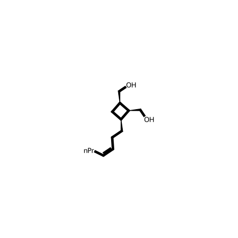 CCC/C=C\CC[C@H]1C[C@@H](CO)[C@H]1CO